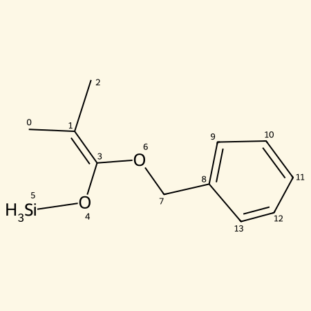 CC(C)=C(O[SiH3])OCc1ccccc1